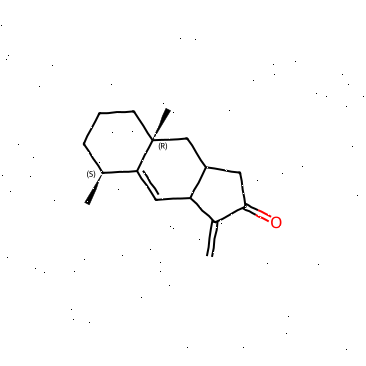 C=C1C(=O)CC2C[C@@]3(C)CCC[C@H](C)C3=CC12